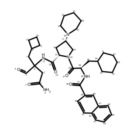 NC(=O)CC(C=O)(CC1CCC1)NC(=O)[C@@H]1C[C@H](N2CCCCC2)CN1C(=O)[C@@H](CC1CCCCC1)NC(=O)c1ccc2ccccc2c1